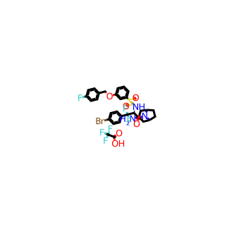 NC1CC2CCC(C1)N2C(=O)[C@@H](NS(=O)(=O)c1cccc(OCc2ccc(F)cc2)c1)C(F)(F)c1ccc(Br)cc1.O=C(O)C(F)(F)F